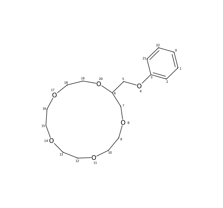 c1ccc(OCC2COCCOCCOCCOCCO2)cc1